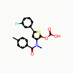 Cc1ccc(C(=O)N(C)c2cc(-c3cccc(F)c3)sc2OC(=O)O)cc1